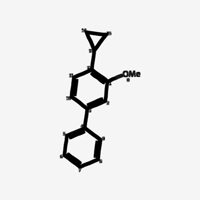 COc1cc(-c2ccccc2)ccc1C1CC1